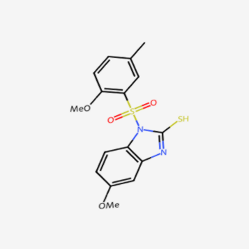 COc1ccc2c(c1)nc(S)n2S(=O)(=O)c1cc(C)ccc1OC